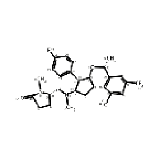 C[C@@H](O[C@H]1CC[C@@H](N(C)C[C@@H]2CCC(=O)N2C)[C@H]1c1ccc(F)cc1)c1cc(C(F)(F)F)cc(C(F)(F)F)c1